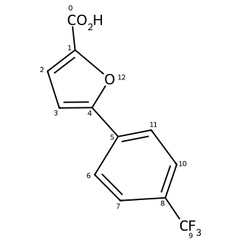 O=C(O)c1ccc(-c2ccc(C(F)(F)F)cc2)o1